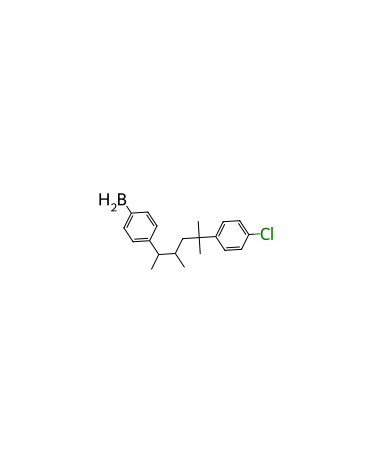 Bc1ccc(C(C)C(C)CC(C)(C)c2ccc(Cl)cc2)cc1